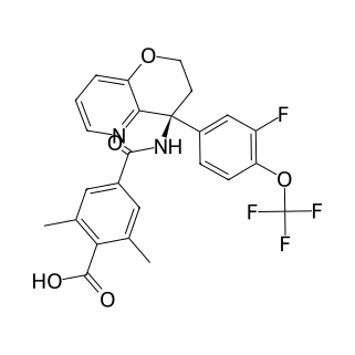 Cc1cc(C(=O)N[C@]2(c3ccc(OC(F)(F)F)c(F)c3)CCOc3cccnc32)cc(C)c1C(=O)O